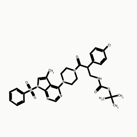 Cc1cn(S(=O)(=O)c2ccccc2)c2ncnc(N3CCN(C(=O)C(CNC(=O)OC(C)(C)C)c4ccc(Cl)cc4)CC3)c12